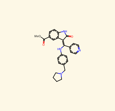 COC(=O)c1ccc2c(c1)C(=C(Nc1ccc(CN3CCCC3)cc1)c1ccncc1)C(=O)N2